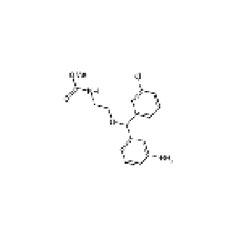 Bc1cccc(C(OCCNC(=O)OC)c2cccc(Cl)c2)c1